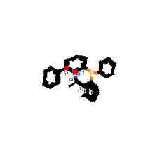 C[C@H](N[C@H](C)[C@@]12[CH]3[CH]4[CH]5[C]1(P(c1ccccc1)c1ccccc1)[Fe]45321678[CH]2[CH]1[CH]6[CH]7[CH]28)c1ccccc1